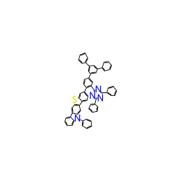 c1ccc(-c2cc(-c3ccccc3)cc(-c3ccc(-c4ccc5c(c4)sc4cc6c7ccccc7n(-c7ccccc7)c6cc45)c(-c4nc(-c5ccccc5)nc(-c5ccccc5)n4)c3)c2)cc1